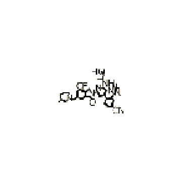 C[C@H]1CCCN(Cc2cc3c(c(C(F)(F)F)c2)CN(c2cc(-c4ccc(C#N)cc4-c4nncn4C)cc(N[C@@H](C)CO)n2)C3=O)C1